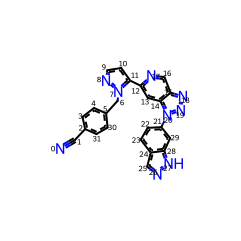 N#Cc1ccc(Cn2nccc2-c2cc3c(cn2)nnn3-c2ccc3cn[nH]c3c2)cc1